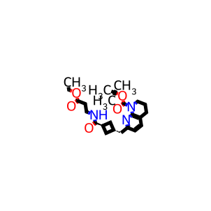 CCOC(=O)CCNC(=O)[C@H]1C[C@H](Cc2ccc3c(n2)N(C(=O)OC(C)(C)C)CCC3)C1